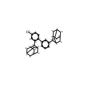 Clc1ccc(-c2cccc(C3C4CC5CC(C4)CC3C5)c2)c(C2C3CC4CC(C3)CC2C4)c1